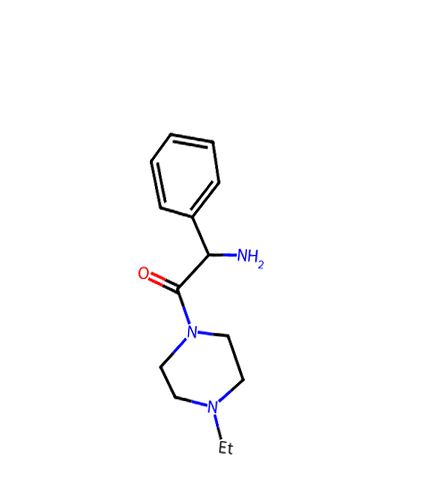 CCN1CCN(C(=O)C(N)c2ccccc2)CC1